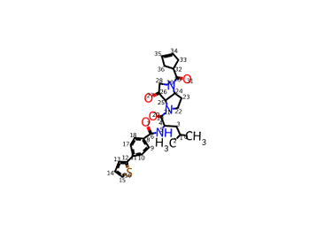 CC(C)CC(NC(=O)c1ccc(-c2cccs2)cc1)C(=O)N1CCC2C1C(=O)CN2C(=O)C1CC=CC1